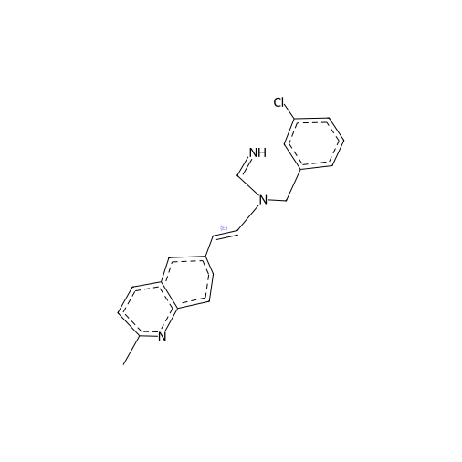 Cc1ccc2cc(/C=C/N(C=N)Cc3cccc(Cl)c3)ccc2n1